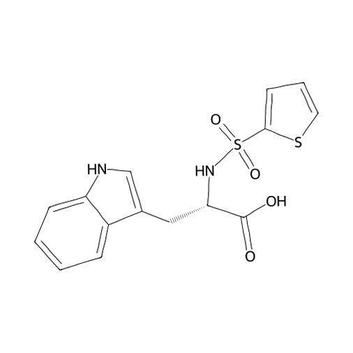 O=C(O)[C@H](Cc1c[nH]c2ccccc12)NS(=O)(=O)c1cccs1